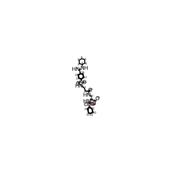 N=C(NC1CCCCC1)c1ccc(S(=O)(=O)NCCC(=O)NC[C@H](NS(=O)(=O)c2ccccc2)C(=O)O)cc1